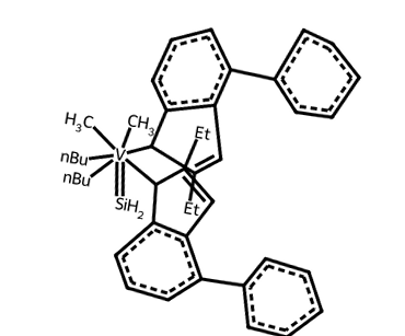 CCC[CH2][V]([CH3])([CH3])(=[SiH2])([CH2]CCC)([CH]1C(CC)=Cc2c(-c3ccccc3)cccc21)[CH]1C(CC)=Cc2c(-c3ccccc3)cccc21